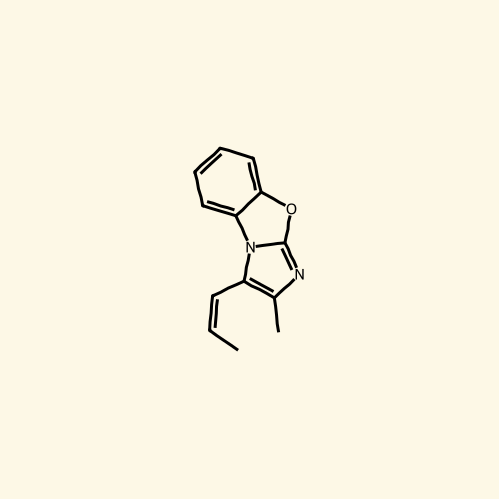 C/C=C\c1c(C)nc2oc3ccccc3n12